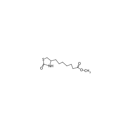 COC(=O)CCCCCCC1CSC(=O)N1